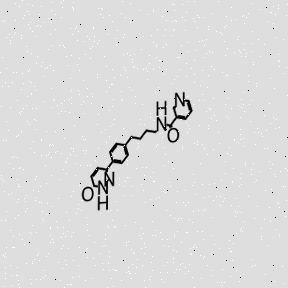 O=C(NCCCCc1ccc(-c2ccc(=O)[nH]n2)cc1)c1cccnc1